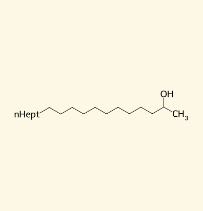 CCCCCCCCCCCCCCCCCC(C)O